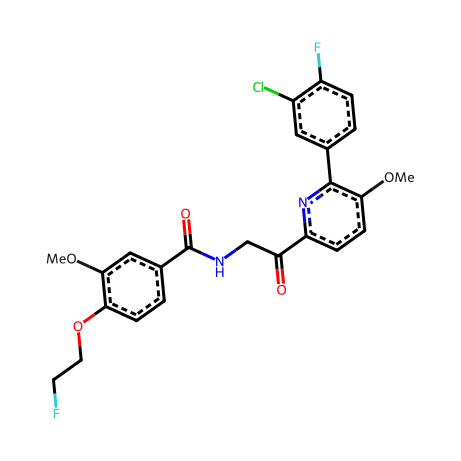 COc1cc(C(=O)NCC(=O)c2ccc(OC)c(-c3ccc(F)c(Cl)c3)n2)ccc1OCCF